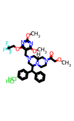 COCC(=O)N1CCN2C(C(c3ccccc3)c3ccccc3)CN(Cc3c(OC)nc(OC)nc3OCC(F)(F)F)C[C@@H]2C1.Cl.Cl